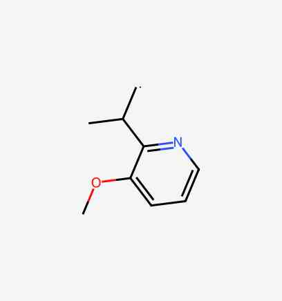 [CH2]C(C)c1ncccc1OC